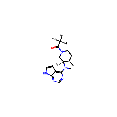 [2H]C([2H])([N+]#[C-])C(=O)N1CC[C@@H](C)[C@@]([2H])(N(C)c2ncnc3[nH]ccc23)C1